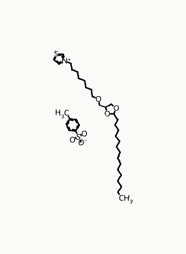 CCCCCCCCCCCCCCCC1OCC(COCCCCCCCC[n+]2ccsc2)O1.Cc1ccc(S(=O)(=O)[O-])cc1